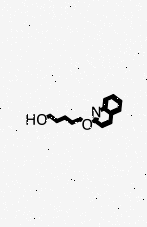 OCCCCCOc1ccc2ccccc2n1